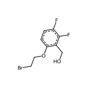 OCc1c(OCCBr)ccc(F)c1F